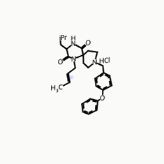 C/C=C/CN1C(=O)C(CC(C)C)NC(=O)C12CCN(Cc1ccc(Oc3ccccc3)cc1)CC2.Cl